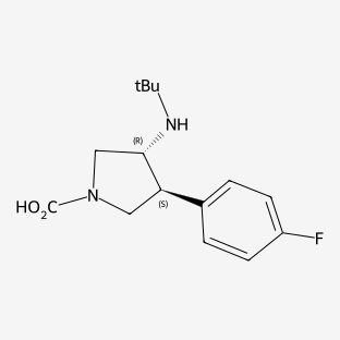 CC(C)(C)N[C@H]1CN(C(=O)O)C[C@@H]1c1ccc(F)cc1